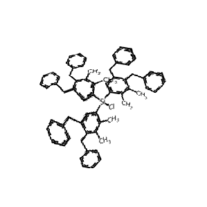 Cc1c([Si](Cl)(c2cc(Cc3ccccc3)c(Cc3ccccc3)c(C)c2C)c2cc(Cc3ccccc3)c(Cc3ccccc3)c(C)c2C)cc(Cc2ccccc2)c(Cc2ccccc2)c1C